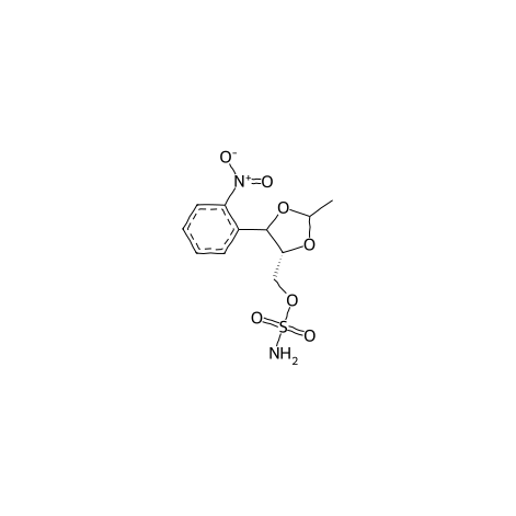 CC1OC(c2ccccc2[N+](=O)[O-])[C@@H](COS(N)(=O)=O)O1